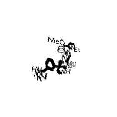 CCCCc1cn(-c2c(C(=O)OC)ccn2CC)c(=O)n1CC1(c2cccc(-c3nnn[nH]3)c2)C=CNC=C1